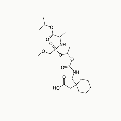 COCP(=O)(NC(C)C(=O)OC(C)C)OC(C)OC(=O)NCC1(CC(=O)O)CCCCC1